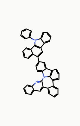 c1ccc(-n2c3ccccc3c3cc(-c4ccc5c(c4)c4cccc6c4n5-c4nc5ccccc5cc4-c4ccccc4-6)c4ccccc4c32)cc1